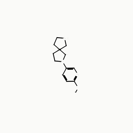 COc1ccc(N2CCC3(CCNC3)C2)cn1